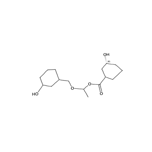 CC(OCC1CCCC(O)C1)OC(=O)C1CCC[C@@H](O)C1